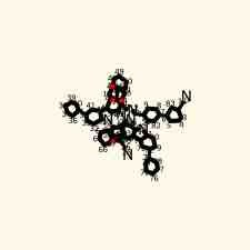 N#Cc1cccc(-c2ccc(-c3nc(-c4ccccc4)nc(-c4cc(C#N)ccc4-n4c5ccc(-c6ccccc6)cc5c5cc(-c6ccccc6)ccc54)n3)c(-n3c4ccc(-c5ccccc5)cc4c4cc(-c5ccccc5)ccc43)c2)c1